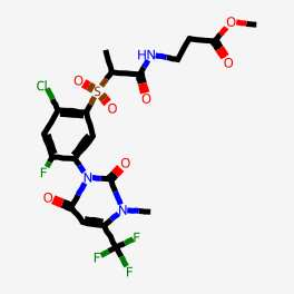 COC(=O)CCNC(=O)C(C)S(=O)(=O)c1cc(-n2c(=O)cc(C(F)(F)F)n(C)c2=O)c(F)cc1Cl